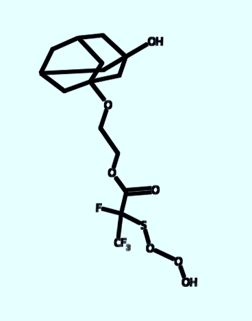 O=C(OCCOC12CC3CC(CC(O)(C3)C1)C2)C(F)(SOOO)C(F)(F)F